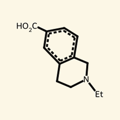 CCN1CCc2cc(C(=O)O)ccc2C1